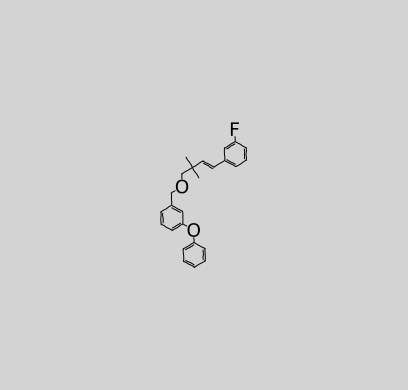 CC(C)(C=Cc1cccc(F)c1)COCc1cccc(Oc2ccccc2)c1